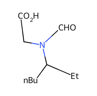 CCCCC(CC)N(C=O)CC(=O)O